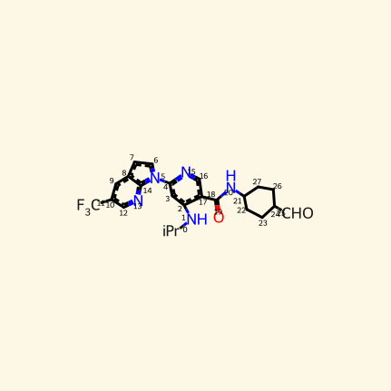 CC(C)Nc1cc(-n2ccc3cc(C(F)(F)F)cnc32)ncc1C(=O)NC1CCC(C=O)CC1